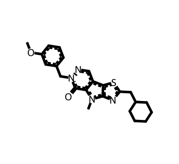 COc1cccc(Cn2ncc3c4sc(CC5CCCCC5)nc4n(C)c3c2=O)c1